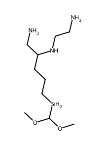 COC(OC)[SiH2]CCCC(CN)NCCN